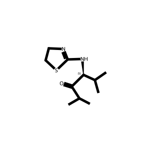 CC(C)C(=O)[C@@H](NC1=NCCS1)C(C)C